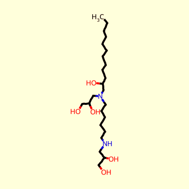 CCCCCCCCCCC(O)CN(CCCCCCNCC(O)CO)CC(O)CO